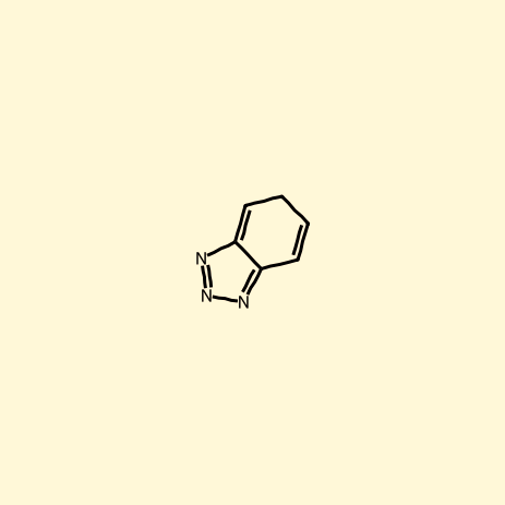 C1=CC2=NN=NC2=CC1